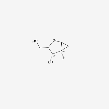 OCC1OC2C[C@@]2(F)[C@@H]1O